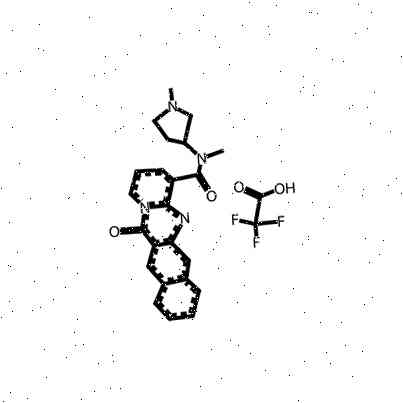 CN1CCC(N(C)C(=O)c2cccn3c(=O)c4cc5ccccc5cc4nc23)C1.O=C(O)C(F)(F)F